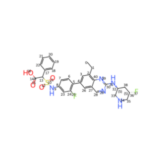 CCc1cc(-c2ccc(NS(=O)(=O)C(C(=O)O)c3ccccc3)cc2F)cc2cnc(N[C@@H]3CNC[C@@H](F)C3)nc12